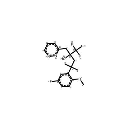 COc1ccc(F)cc1C(C)(C)CC(O)(Cc1cccnn1)C(F)(F)F